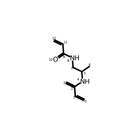 C=CC(=C)NC(C)CNC(=O)C=C